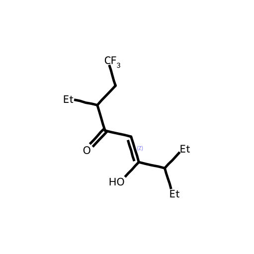 CCC(CC(F)(F)F)C(=O)/C=C(\O)C(CC)CC